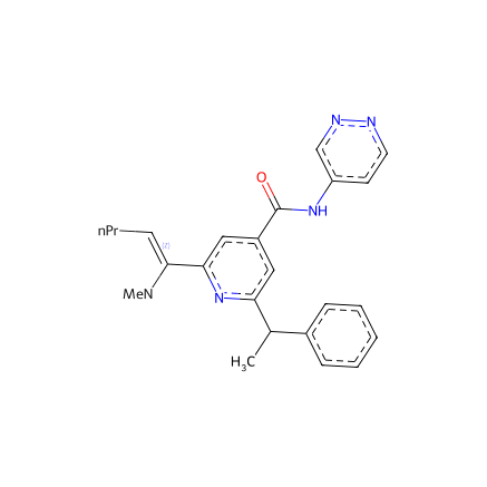 CCC/C=C(\NC)c1cc(C(=O)Nc2ccnnc2)cc(C(C)c2ccccc2)n1